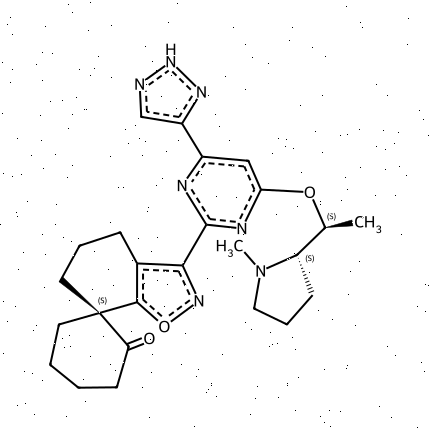 C[C@H](Oc1cc(-c2cn[nH]n2)nc(-c2noc3c2CCC[C@@]32CCCCC2=O)n1)[C@@H]1CCCN1C